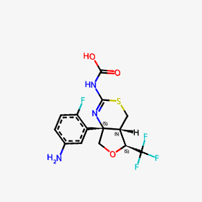 Nc1ccc(F)c([C@]23CO[C@H](C(F)(F)F)[C@H]2CSC(NC(=O)O)=N3)c1